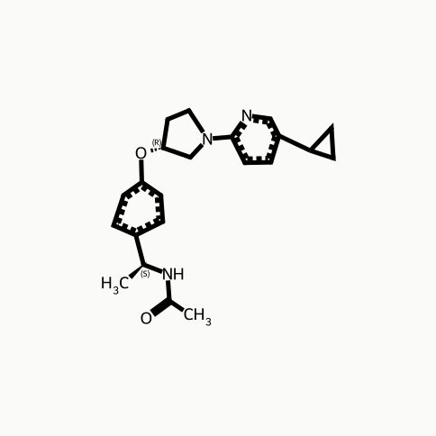 CC(=O)N[C@@H](C)c1ccc(O[C@@H]2CCN(c3ccc(C4CC4)cn3)C2)cc1